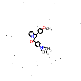 CCN(CC)c1ccc(C(=O)c2cc(-c3ccc(OC)cc3)c3ccccn23)cc1